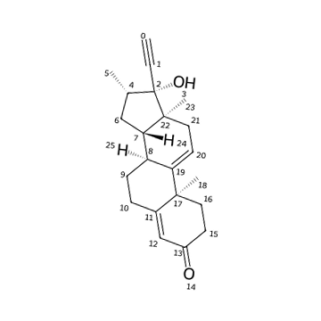 C#C[C@]1(O)[C@@H](C)C[C@H]2[C@@H]3CCC4=CC(=O)CC[C@]4(C)C3=CC[C@@]21C